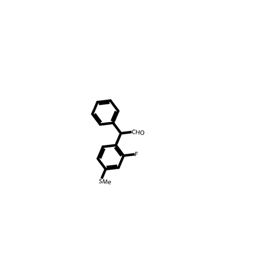 CSc1ccc(C(C=O)c2ccccc2)c(F)c1